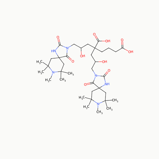 CN1C(C)(C)CC2(CC1(C)C)NC(=O)N(CC(O)CC(CCCC(=O)O)(CC(O)CN1C(=O)NC3(CC(C)(C)N(C)C(C)(C)C3)C1=O)C(=O)O)C2=O